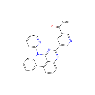 COC(=O)c1cncc(-c2nc(N(C)c3ccccn3)c3c(-c4ccccc4)cccc3n2)c1